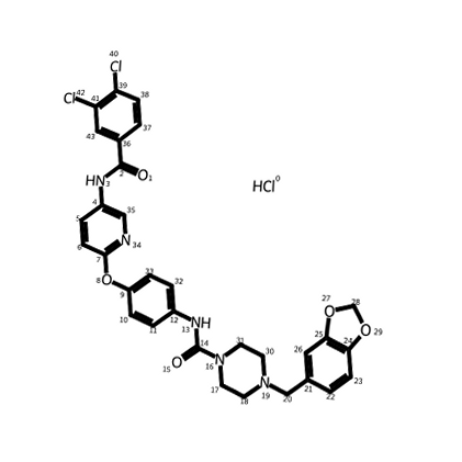 Cl.O=C(Nc1ccc(Oc2ccc(NC(=O)N3CCN(Cc4ccc5c(c4)OCO5)CC3)cc2)nc1)c1ccc(Cl)c(Cl)c1